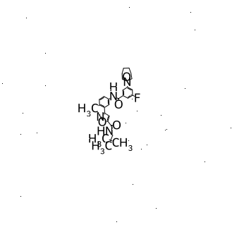 Cc1ccc(NC(=O)c2cc(F)cc(N3CC4CCC(C3)O4)c2)cc1-c1cc(C(=O)NCC(C)(C)C)on1